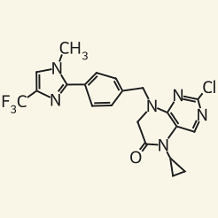 Cn1cc(C(F)(F)F)nc1-c1ccc(CN2CC(=O)N(C3CC3)c3cnc(Cl)nc32)cc1